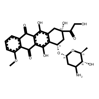 COc1cccc2c1C(=O)c1c(O)c3c(c(O)c1C2=O)C[C@@](O)(C(=O)CO)C[C@@H]3O[C@H]1CC(N)[C@@H](O)[C@H](C)O1